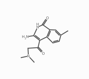 Cc1ccc2c(C(=O)CN(C)C)c(N)[nH]c(=O)c2c1